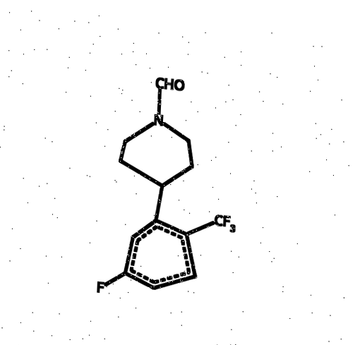 O=CN1CCC(c2cc(F)ccc2C(F)(F)F)CC1